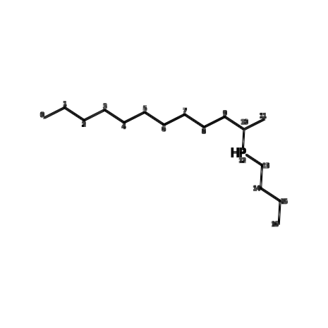 CCCCCCCCCCC(C)PCCCC